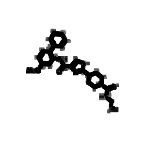 CCC(C)CNC(=S)N1CCC(c2nc(C(=O)Nc3cc(OC)ccc3-c3ccccc3)cs2)CC1